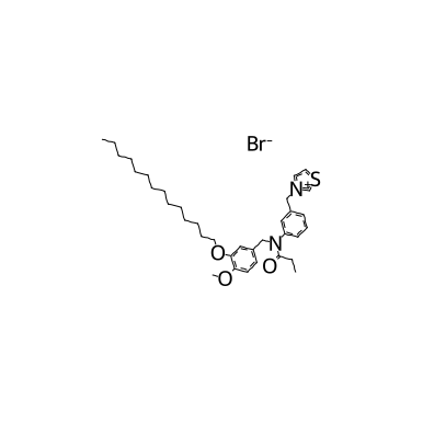 CCCCCCCCCCCCCCOc1cc(CN(C(=O)CC)c2cccc(C[n+]3ccsc3)c2)ccc1OC.[Br-]